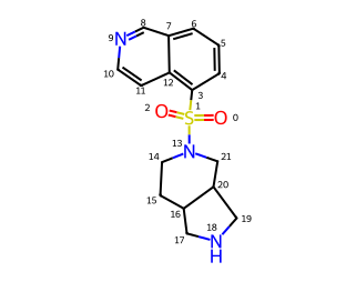 O=S(=O)(c1cccc2cnccc12)N1CCC2CNCC2C1